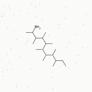 BC(C)C(C)C(C)C(C)C(C)C(C)C(C)C(C)CC